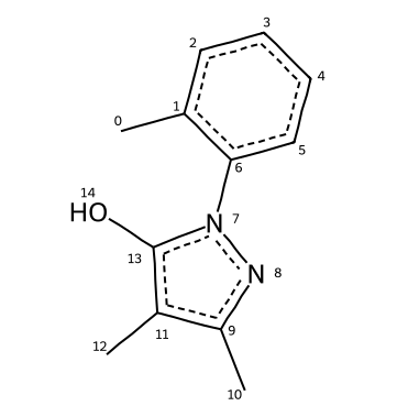 Cc1ccccc1-n1nc(C)c(C)c1O